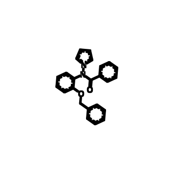 O=C(c1ccccc1)N(c1ccccc1OCc1ccccc1)n1cccc1